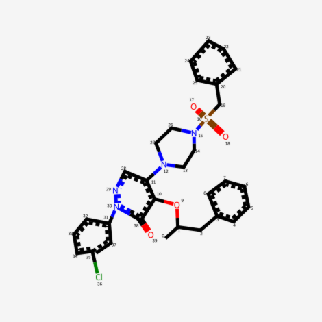 CC(Cc1ccccc1)Oc1c(N2CCN(S(=O)(=O)Cc3ccccc3)CC2)cnn(-c2cccc(Cl)c2)c1=O